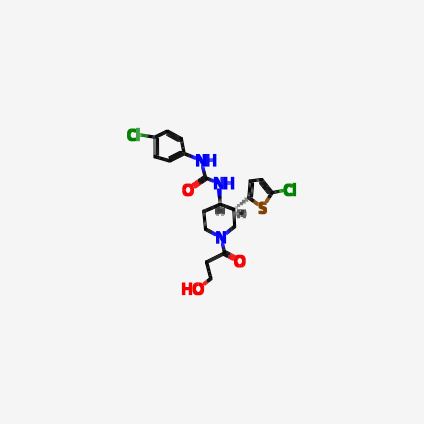 O=C(Nc1ccc(Cl)cc1)N[C@@H]1CCN(C(=O)CCO)C[C@H]1c1ccc(Cl)s1